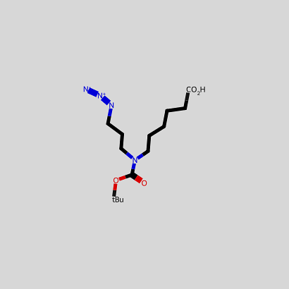 CC(C)(C)OC(=O)N(CCCCCC(=O)O)CCCN=[N+]=[N-]